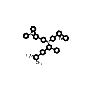 Cc1cc(C)cc(-c2ccc(-c3cc(-c4ccccc4)cc(N(c4ccc(-c5ccc6c(c5)c5ccccc5n6-c5ccccc5)cc4)c4ccc(-c5cccc6c5oc5ccccc56)cc4)c3)cc2)c1